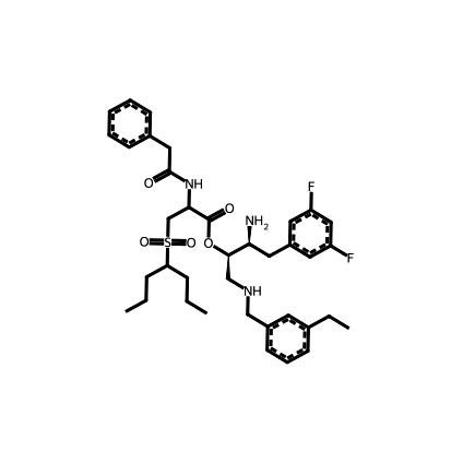 CCCC(CCC)S(=O)(=O)CC(NC(=O)Cc1ccccc1)C(=O)O[C@H](CNCc1cccc(CC)c1)[C@@H](N)Cc1cc(F)cc(F)c1